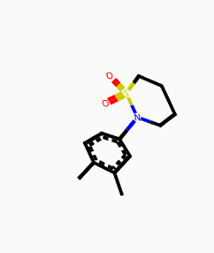 Cc1ccc(N2CCCCS2(=O)=O)cc1C